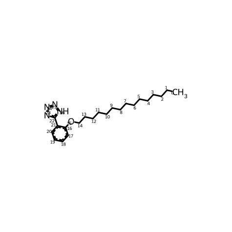 CCCCCCCCCCCCCCCOc1ccccc1-c1nnn[nH]1